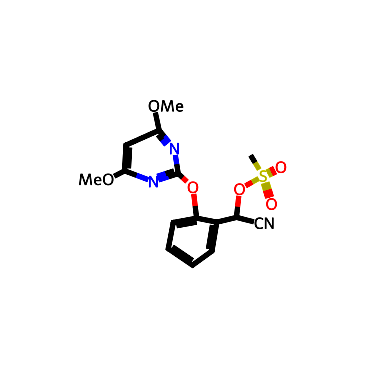 COc1cc(OC)nc(Oc2ccccc2C(C#N)OS(C)(=O)=O)n1